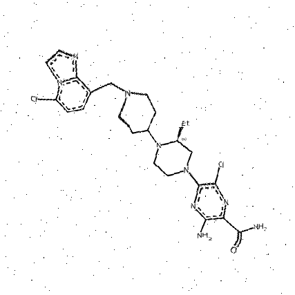 CC[C@H]1CN(c2nc(N)c(C(N)=O)nc2Cl)CCN1C1CCN(Cc2ccc(Cl)n3ccnc23)CC1